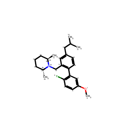 COc1ccc(F)c(-c2ccc(CC(C)C)cc2CN2[C@H](C)CCC[C@H]2C)c1